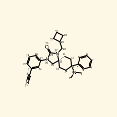 CN(C)[C@]1(c2ccccc2)CC[C@]2(CC1)CN(c1cccc(C#N)c1)C(=O)N2CC1CCC1